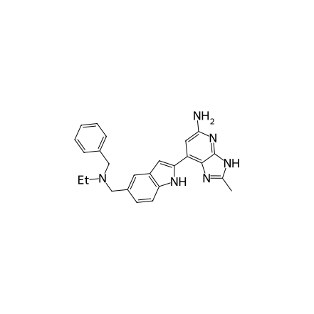 CCN(Cc1ccccc1)Cc1ccc2[nH]c(-c3cc(N)nc4[nH]c(C)nc34)cc2c1